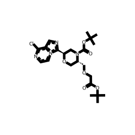 CC(C)(C)OC(=O)COC[C@@H]1CO[C@@H](c2ncc3c(Cl)nccn23)CN1C(=O)OC(C)(C)C